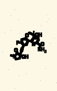 CN1CC[C@@](O)(C#Cc2cc3c(cc2F)OC[C@@](C)(O)c2sc(C(N)=O)nc2-3)C1=O